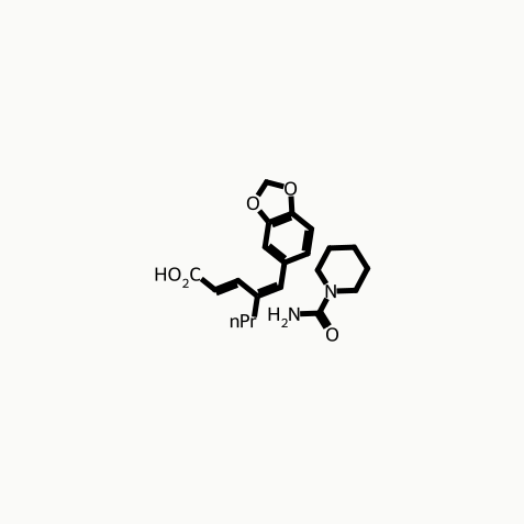 CCCC(C=CC(=O)O)=Cc1ccc2c(c1)OCO2.NC(=O)N1CCCCC1